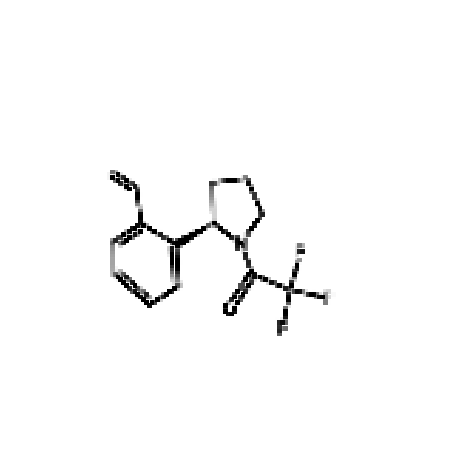 C=Cc1ccccc1[C@H]1CCCN1C(=O)C(F)(F)F